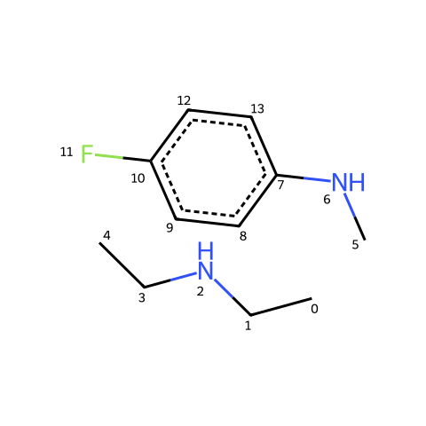 CCNCC.CNc1ccc(F)cc1